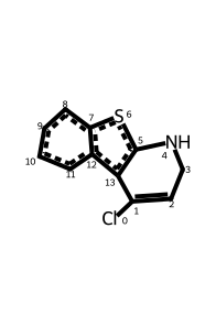 ClC1=CCNc2sc3ccccc3c21